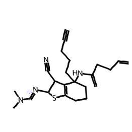 C#CCCCC1(NC(=C)CCC=C)CCCC2=C1C(C#N)C(/N=C/N(C)C)S2